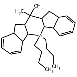 CCC[CH2][Zr]1([CH2]CCC)[CH]2C3C=CC=CC3CC2C(C)(C)C2CC3C=CC=CC3[CH]21